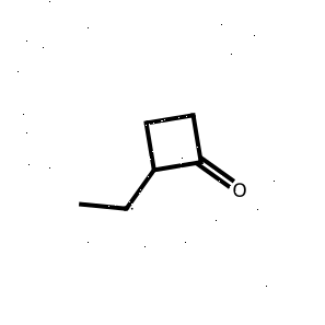 C[CH]C1CCC1=O